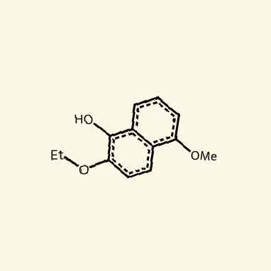 CCOc1ccc2c(OC)cccc2c1O